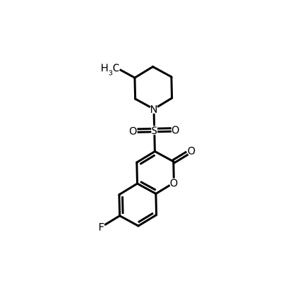 CC1CCCN(S(=O)(=O)c2cc3cc(F)ccc3oc2=O)C1